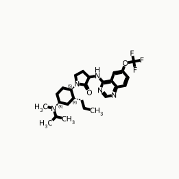 CCC[C@@H]1C[C@H](N(C)C(C)C)CC[C@@H]1N1CCC(Nc2ncnc3ccc(OC(F)(F)F)cc23)C1=O